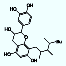 CCC(C)C(C)C(C)C(C)Cc1c(O)cc(O)c2c1OC(c1ccc(O)c(O)c1)C(O)C2